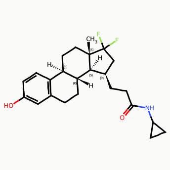 C[C@]12CC[C@@H]3c4ccc(O)cc4CC[C@H]3[C@@H]1[C@H](CCC(=O)NC1CC1)CC2(F)F